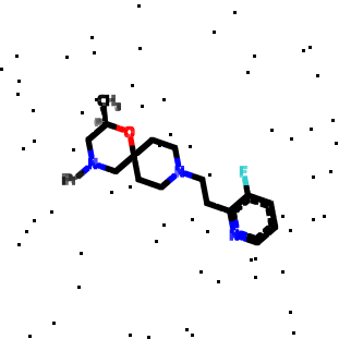 CC(C)N1C[C@@H](C)OC2(CCN(CCc3ncccc3F)CC2)C1